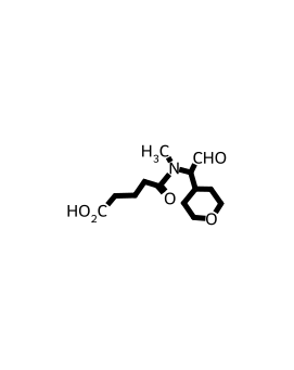 CN(C(=O)CCCC(=O)O)C(C=O)C1CCOCC1